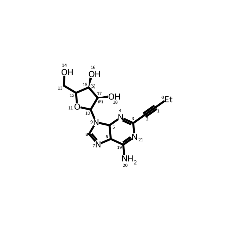 CCC#CC1=NC2C(N=CN2C2OC(CO)[C@@H](O)[C@H]2O)C(N)=N1